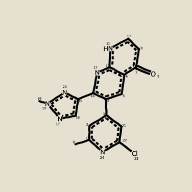 Cc1cc(-c2cc3c(=O)cc[nH]c3nc2-c2cnn(C)n2)cc(Cl)n1